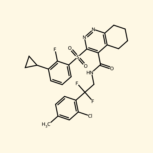 Cc1ccc(C(F)(F)CNC(=O)c2c(S(=O)(=O)c3cccc(C4CC4)c3F)nnc3c2CCCC3)c(Cl)c1